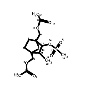 CC(=O)OCC12CCC(COC(C)=O)(O1)C(OS(C)(=O)=O)C2C